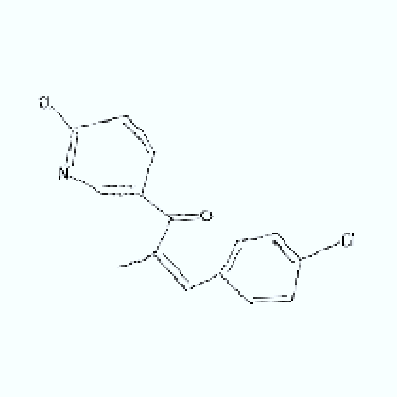 CC(=Cc1ccc(Cl)cc1)C(=O)c1ccc(Cl)nc1